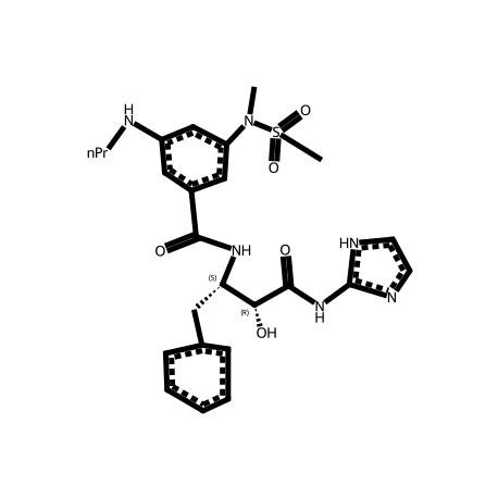 CCCNc1cc(C(=O)N[C@@H](Cc2ccccc2)[C@@H](O)C(=O)Nc2ncc[nH]2)cc(N(C)S(C)(=O)=O)c1